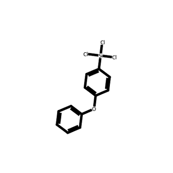 Cl[Si](Cl)(Cl)c1ccc(Oc2ccccc2)cc1